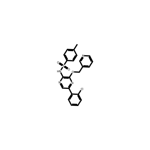 Cc1ccc(S(=O)(=O)Nc2ncc(-c3ccccc3Cl)nc2OCc2cccnc2)cc1